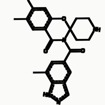 Cc1cc2c(cc1C)C(=O)N(C(=O)c1cc(C)c3[nH]ncc3c1)C1(CCNCC1)O2